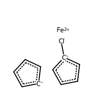 Cl[c-]1cccc1.[Fe+2].c1cc[cH-]c1